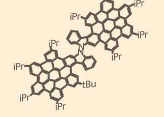 CC(C)c1cc2c3cc(C(C)C)cc4c5cc(C(C)C)cc6c7cc8c(c9ccccc9n8-n8c9ccccc9c9c%10c%11cc(C(C)(C)C)cc%12c%13cc(C(C)C)cc%14c%15cc(C(C)C)cc%16c%17cc(C(C)C)cc%18c%19cc(C(C)C)cc%20c(cc98)c%10c8c(c%19%20)c(c%17%18)c(c%16%15)c(c%14%13)c8c%12%11)c8c9cc(C(C)C)cc%10c%11cc(C(C)C)cc%12c(c1)c2c1c(c34)c(c56)c(c78)c(c%109)c1c%12%11